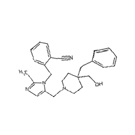 Cc1ncc(CN2CCC(CO)(Cc3ccccc3)CC2)n1Cc1ccccc1C#N